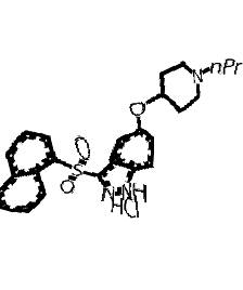 CCCN1CCC(Oc2ccc3[nH]nc(S(=O)(=O)c4cccc5ccccc45)c3c2)CC1.Cl